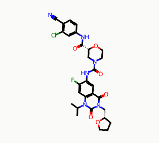 CC(C)n1c(=O)n(C[C@@H]2CCCO2)c(=O)c2cc(NC(=O)N3CCO[C@@H](C(=O)Nc4ccc(C#N)c(Cl)c4)C3)c(F)cc21